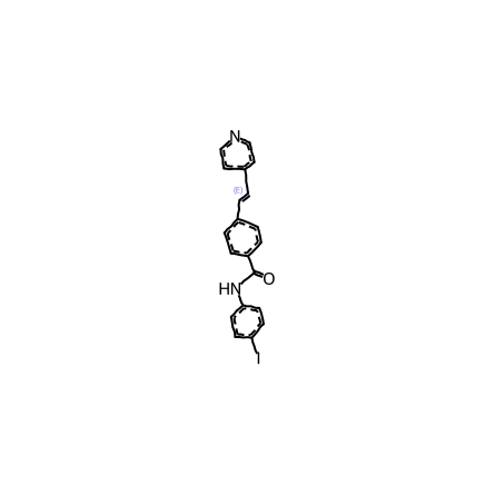 O=C(Nc1ccc(I)cc1)c1ccc(/C=C/c2ccncc2)cc1